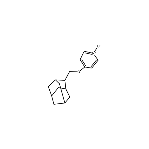 [O-][n+]1ccc(OCC2C3CC4CC(C3)CC2C4)cc1